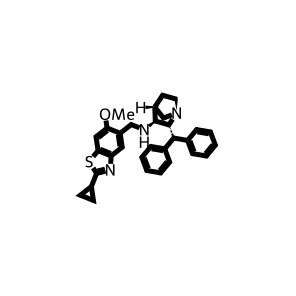 COc1cc2sc(C3CC3)nc2cc1CN[C@H]1[C@@H]2CC[N@](C2)[C@@H]1C(c1ccccc1)c1ccccc1